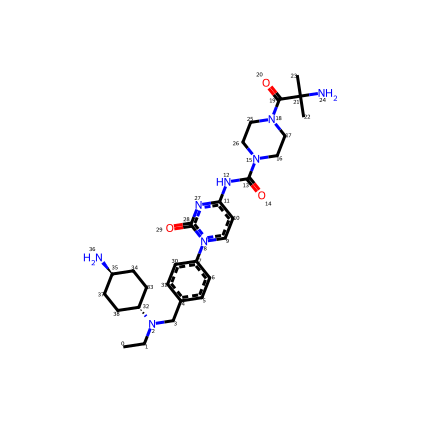 CCN(Cc1ccc(-n2ccc(NC(=O)N3CCN(C(=O)C(C)(C)N)CC3)nc2=O)cc1)[C@H]1CC[C@H](N)CC1